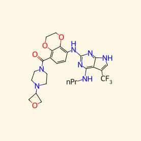 CCCNc1nc(Nc2ccc(C(=O)N3CCN(C4COC4)CC3)c3c2OCCO3)nc2[nH]cc(C(F)(F)F)c12